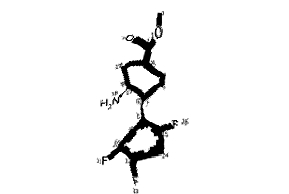 COC(=O)C1=CC[C@@H](c2cc(F)c(F)cc2F)[C@H](N)C1